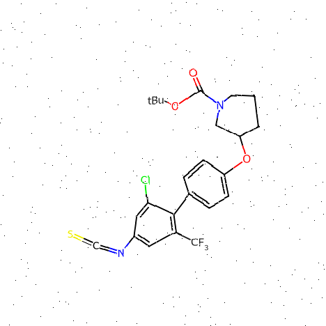 CC(C)(C)OC(=O)N1CCCC(Oc2ccc(-c3c(Cl)cc(N=C=S)cc3C(F)(F)F)cc2)C1